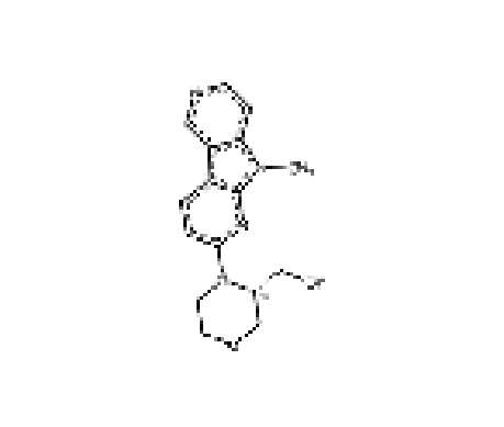 Cn1c2ccncc2c2ccc(N3CCOC[C@H]3CO)nc21